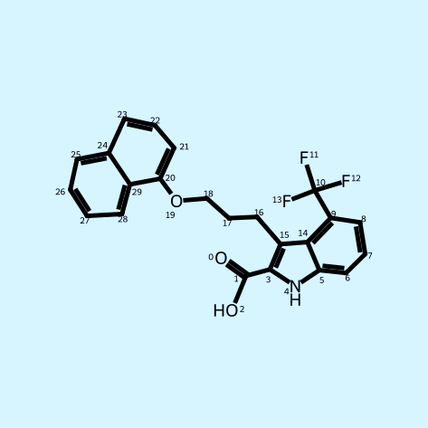 O=C(O)c1[nH]c2cccc(C(F)(F)F)c2c1CCCOc1cccc2ccccc12